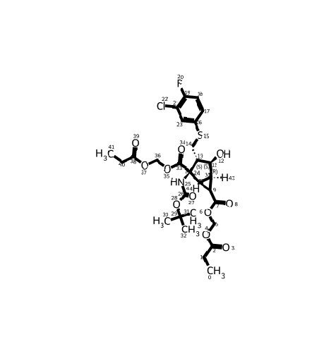 CCC(=O)OCOC(=O)C1[C@@H]2[C@H](O)[C@@H](CSc3ccc(F)c(Cl)c3)[C@@](NC(=O)OC(C)(C)C)(C(=O)OCOC(=O)CC)[C@H]12